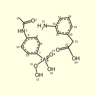 CC(=O)Nc1ccc([As](=O)(O)OO)cc1.Nc1cccc(CC(=O)O)c1